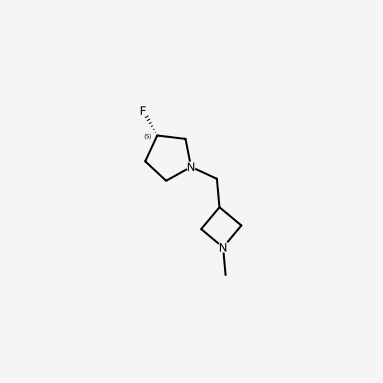 CN1CC(CN2CC[C@H](F)C2)C1